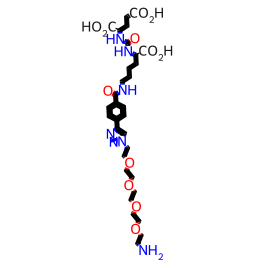 NCCOCCOCCOCCOCCn1cc(-c2ccc(C(=O)NCCCC[C@H](NC(=O)N[C@@H](CCC(=O)O)C(=O)O)C(=O)O)cc2)nn1